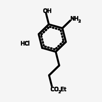 CCOC(=O)CCc1ccc(O)c(N)c1.Cl